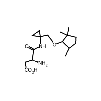 CC1CCC(C)(C)C1OCC1(NC(=O)[C@@H](N)CC(=O)O)CC1